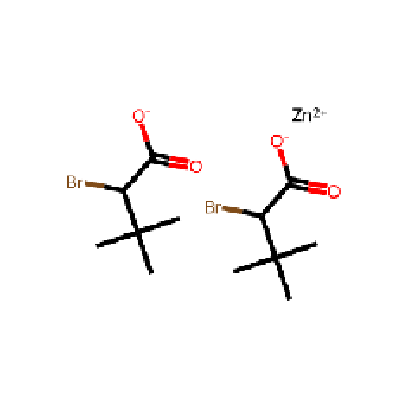 CC(C)(C)C(Br)C(=O)[O-].CC(C)(C)C(Br)C(=O)[O-].[Zn+2]